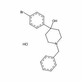 Cl.OC1(c2ccc(Br)cc2)CCN(Cc2ccccc2)CC1